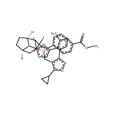 COC(=O)c1ccc(-c2csc(N3[C@@H]4CC[C@H]3C[C@H](OCc3c(-c5ccccc5OC(F)(F)F)noc3C3CC3)C4)n2)c(C)c1